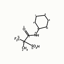 CC(C(=O)NC1CCCCC1)(C(F)(F)F)S(=O)(=O)O